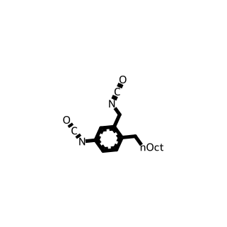 CCCCCCCCCc1ccc(N=C=O)cc1CN=C=O